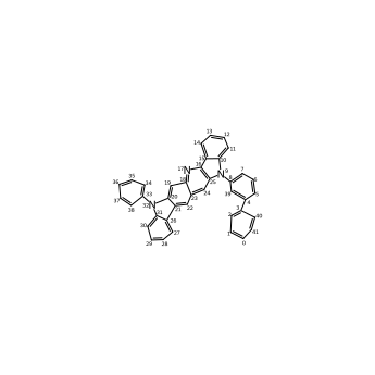 c1ccc(-c2cccc(-n3c4ccccc4c4nc5cc6c(cc5cc43)c3ccccc3n6-c3ccccc3)c2)cc1